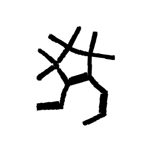 C=CC1=C(/C=C\C)C(C)(C)C(C)(C)S1(C)C